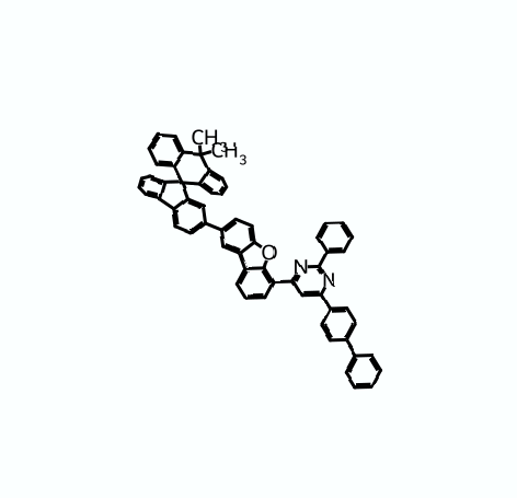 CC1(C)c2ccccc2C2(c3ccccc3-c3ccc(-c4ccc5oc6c(-c7cc(-c8ccc(-c9ccccc9)cc8)nc(-c8ccccc8)n7)cccc6c5c4)cc32)c2ccccc21